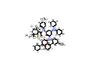 CC(C)(C)c1ccc(N2c3cc(N(c4ccccc4)c4ccccc4)cc4c3B(c3cc(-c5ccccc5)ccc3N4c3ccc(C(C)(C)C)cc3-c3ccccc3)c3sc4c(c32)C(C)(C)CCC4(C)C)cc1